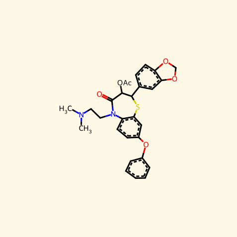 CC(=O)OC1C(=O)N(CCN(C)C)c2ccc(Oc3ccccc3)cc2SC1c1ccc2c(c1)OCO2